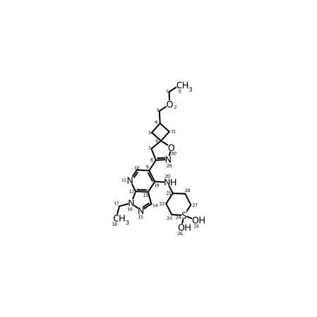 CCOCC1CC2(CC(c3cnc4c(cnn4CC)c3NC3CCS(O)(O)CC3)=NO2)C1